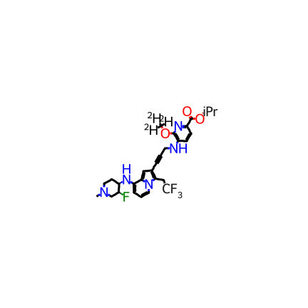 [2H]C([2H])([2H])Oc1nc(C(=O)OC(C)C)ccc1NCC#Cc1cc2c(N[C@@H]3CCN(C)C[C@@H]3F)cccn2c1CC(F)(F)F